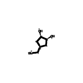 CC(C)(C)CN1C[C@@H](O)[C@@H](O)C1